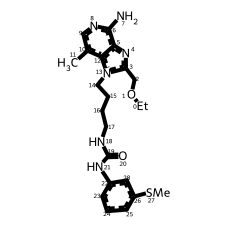 CCOCc1nc2c(N)ncc(C)c2n1CCCCNC(=O)Nc1cccc(SC)c1